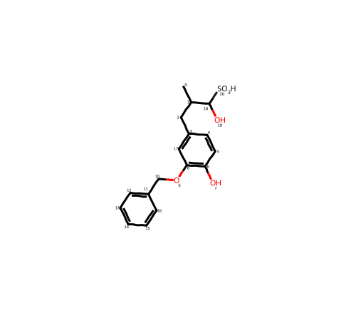 CC(Cc1ccc(O)c(OCc2ccccc2)c1)C(O)S(=O)(=O)O